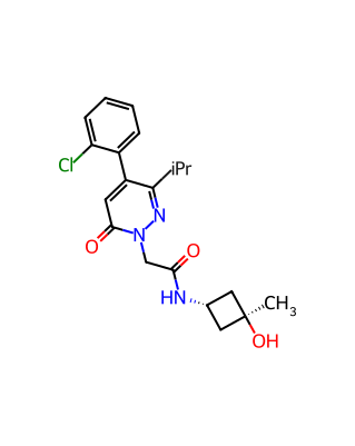 CC(C)c1nn(CC(=O)N[C@H]2C[C@](C)(O)C2)c(=O)cc1-c1ccccc1Cl